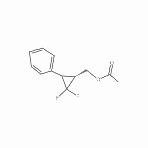 CC(=O)OC[C@@H]1C(c2ccccc2)C1(F)F